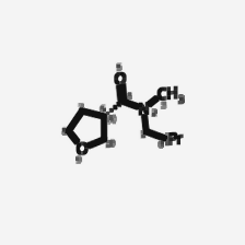 CC(C)CN(C)C(=O)[C@H]1CCOC1